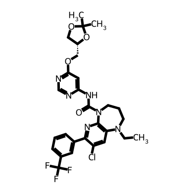 CCN1CCCN(C(=O)Nc2cc(OC[C@@H]3COC(C)(C)O3)ncn2)c2nc(-c3cccc(C(F)(F)F)c3)c(Cl)cc21